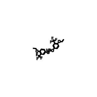 CCOc1ccc(OBOc2ccc(OCC)c(C(F)(F)F)c2)cc1C(F)(F)F